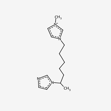 CC(CCCCCn1cc[n+](C)c1)n1ccnc1